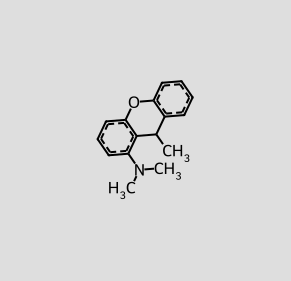 CC1c2ccccc2Oc2cccc(N(C)C)c21